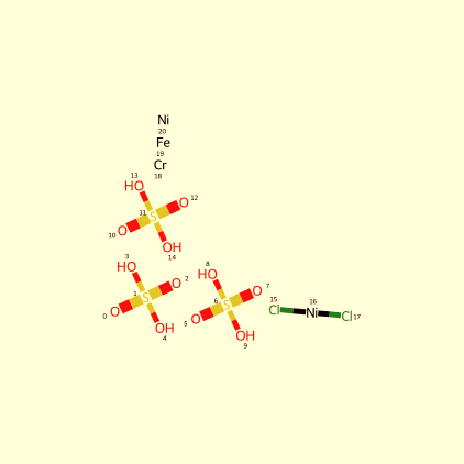 O=S(=O)(O)O.O=S(=O)(O)O.O=S(=O)(O)O.[Cl][Ni][Cl].[Cr].[Fe].[Ni]